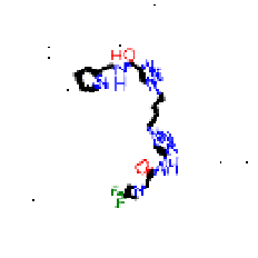 O=C(CN1CC(F)(F)C1)Nc1cn(CCCCn2cc(C(O)NCc3ccccn3)nn2)nn1